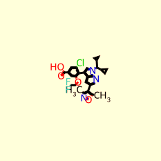 Cc1noc(C)c1-c1cnc2c(c1)c(-c1c(Cl)cc(C(=O)O)cc1OCC(F)F)cn2C(C1CC1)C1CC1